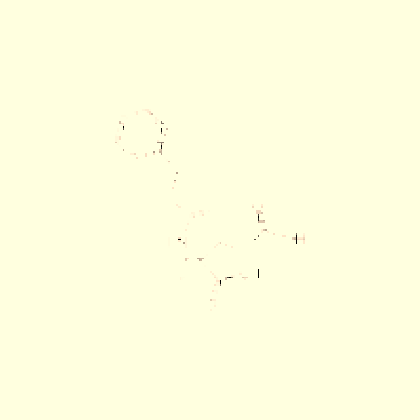 C[C@@](CCC(=O)O)(NC(=O)OCc1ccccc1)C(=O)O